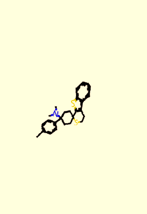 Cc1ccc(C2(N(C)C)CCC3(CC2)SCCc2c3sc3ccccc23)cc1